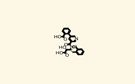 O=C(N[C@H](Cc1ccccc1Cl)[C@@H](O)C(=O)O)c1cncc(-c2ccccc2C(=O)O)c1